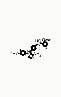 COc1ccc(F)cc1C(O)NCc1ccc(-c2nc([C@]3(C)CC[C@@](C)(C(=O)O)CC3)n3ccnc(N)c23)cc1